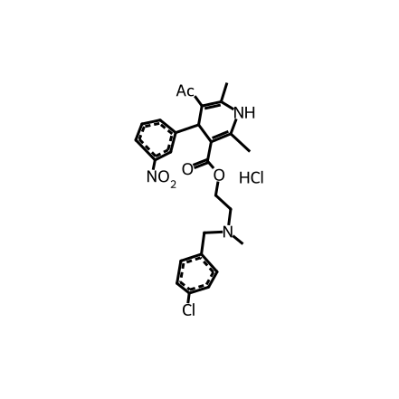 CC(=O)C1=C(C)NC(C)=C(C(=O)OCCN(C)Cc2ccc(Cl)cc2)C1c1cccc([N+](=O)[O-])c1.Cl